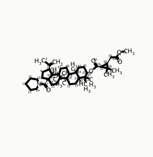 C=C(C)[C@@H]1CC[C@]2(C(=O)N3CCCCC3)CC[C@@]3(C)[C@]4(C)CC[C@H]5C(C)(C)[C@@H](OC(=O)[C@H]6[C@@H](CC(=O)OC)C6(C)C)CC[C@]5(C)C4CC[C@]3(C)[C@@H]12